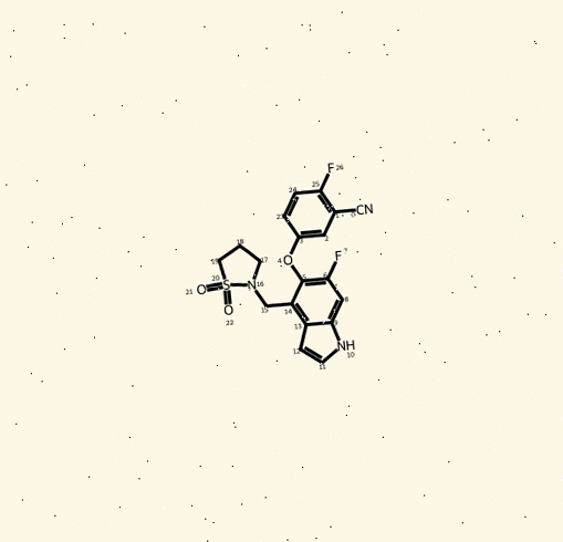 N#Cc1cc(Oc2c(F)cc3[nH]ccc3c2CN2CCCS2(=O)=O)ccc1F